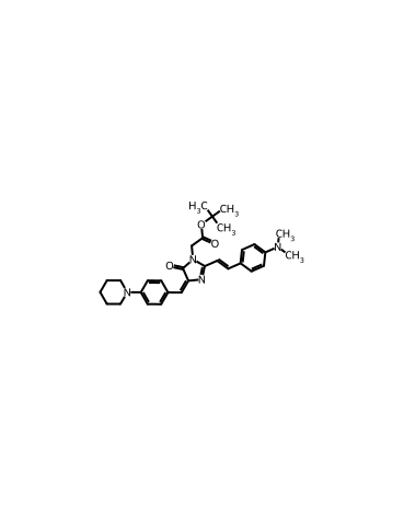 CN(C)c1ccc(/C=C/C2=NC(=C/c3ccc(N4CCCCC4)cc3)/C(=O)N2CC(=O)OC(C)(C)C)cc1